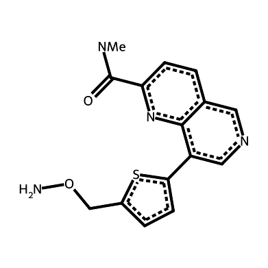 CNC(=O)c1ccc2cncc(-c3ccc(CON)s3)c2n1